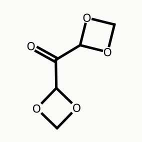 O=C(C1OCO1)C1OCO1